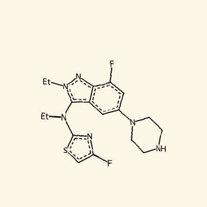 CCN(c1nc(F)cs1)c1c2cc(N3CCNCC3)cc(F)c2nn1CC